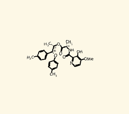 COc1ccnc(C(=O)N[C@@H](C)C(=O)O[C@@H](C)[C@H](Oc2ccc(C)cc2)c2ccc(C)cc2)c1O